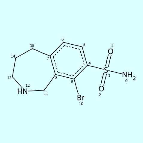 NS(=O)(=O)c1ccc2c(c1Br)CNCCC2